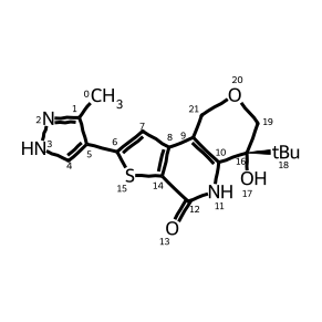 Cc1n[nH]cc1-c1cc2c3c([nH]c(=O)c2s1)[C@](O)(C(C)(C)C)COC3